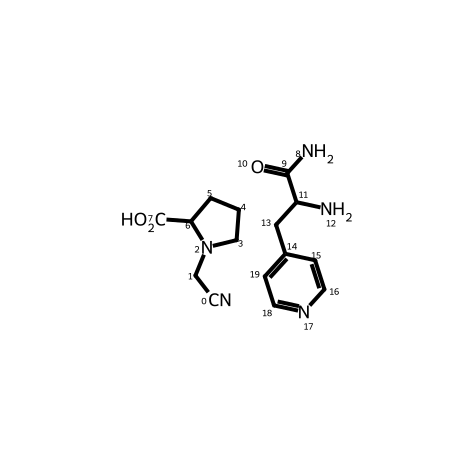 N#CCN1CCCC1C(=O)O.NC(=O)C(N)Cc1ccncc1